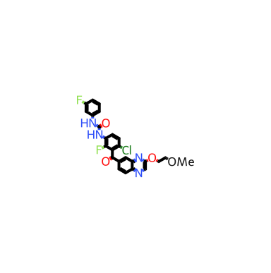 COCCOc1cnc2ccc(C(=O)c3c(Cl)ccc(NC(=O)Nc4cccc(F)c4)c3F)cc2n1